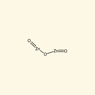 [O]=[Zn][O][Zn]=[O]